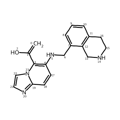 C=C(O)c1c(NCc2cccc3c2CNCC3)ccc2nccn12